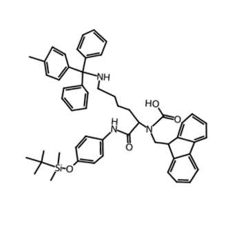 Cc1ccc(C(NCCCCC(C(=O)Nc2ccc(O[Si](C)(C)C(C)(C)C)cc2)N(CC2c3ccccc3-c3ccccc32)C(=O)O)(c2ccccc2)c2ccccc2)cc1